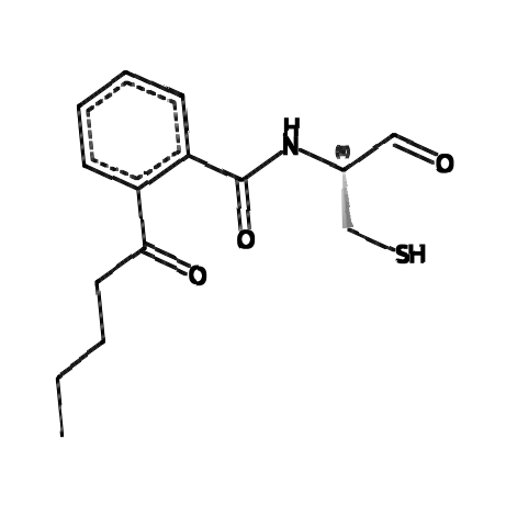 CCCCC(=O)c1ccccc1C(=O)N[C@H](C=O)CS